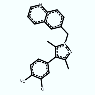 Cc1nn(Cc2ccc3ncccc3c2)c(C)c1-c1ccc(C#N)c(Cl)c1